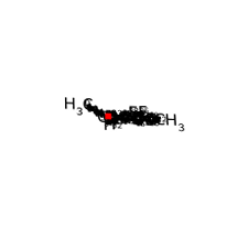 CC/C=C/COc1ccc(-c2ccc(-c3ccc(C4=CCC(C)CC4)c(F)c3F)cc2)c(F)c1F